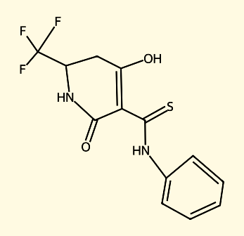 O=C1NC(C(F)(F)F)CC(O)=C1C(=S)Nc1ccccc1